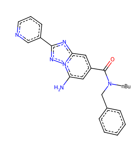 CCCCN(Cc1ccccc1)C(=O)c1cc(N)n2nc(-c3cccnc3)nc2c1